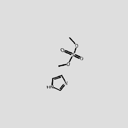 COS(=O)(=O)OC.c1c[nH]cn1